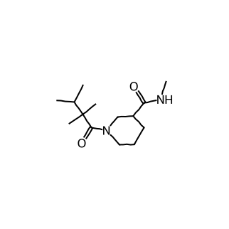 CNC(=O)C1CCCN(C(=O)C(C)(C)C(C)C)C1